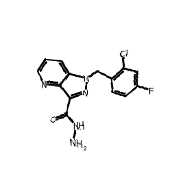 NNC(=O)c1nn(Cc2ccc(F)cc2Cl)c2cccnc12